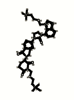 C[Si](C)(C)CCOCN1C(=O)CCC(N2Cc3cc(N4CCN(c5cccc6ncn(COCC[Si](C)(C)C)c56)C4=O)ccc3C2=O)C1=O